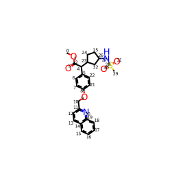 COC(=O)C(c1ccc(OCc2ccc3ccccc3n2)cc1)C1CCC(NS(C)(=O)=O)C1